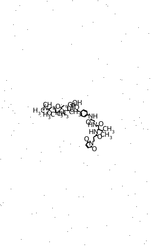 CC(C)C(NC(=O)CCN1C(=O)C=CC1=O)C(=O)NCC(=O)Nc1ccc(COP(=O)(O)O[C@@H](CC(=O)O[C@@H](CC(=O)N(C)C)C(C)C)C(C)C)cc1